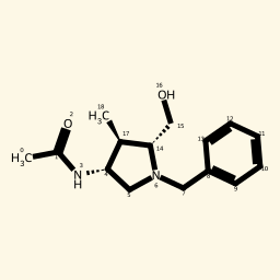 CC(=O)N[C@H]1CN(Cc2ccccc2)[C@@H](CO)[C@@H]1C